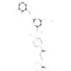 COc1cc([AsH]S(=O)(=O)N2CCN(C(=O)CCNC(=O)O)CC2)nc(SCc2cccc(F)c2F)n1